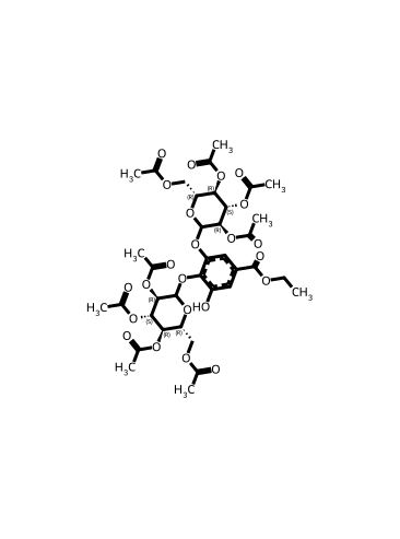 CCOC(=O)c1cc(O)c(OC2O[C@H](COC(C)=O)[C@@H](OC(C)=O)[C@H](OC(C)=O)[C@H]2OC(C)=O)c(OC2O[C@H](COC(C)=O)[C@@H](OC(C)=O)[C@H](OC(C)=O)[C@H]2OC(C)=O)c1